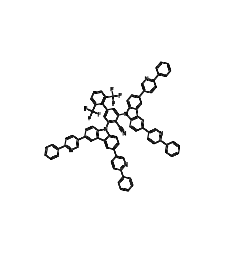 N#Cc1c(-n2c3ccc(-c4ccc(-c5ccccc5)nc4)cc3c3cc(-c4ccc(-c5ccccc5)nc4)ccc32)cc(-c2c(C(F)(F)F)cccc2C(F)(F)F)cc1-n1c2ccc(-c3ccc(-c4ccccc4)nc3)cc2c2cc(-c3ccc(-c4ccccc4)nc3)ccc21